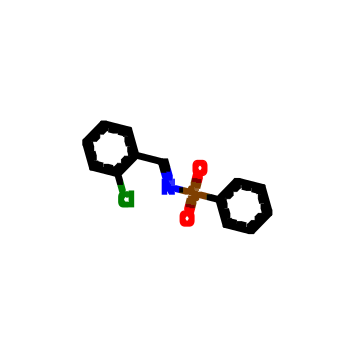 O=S(=O)(N=Cc1ccccc1Cl)c1ccccc1